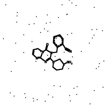 N#Cc1ccccc1CN1C(=O)N2CC=CN=C2N=C1N1CCCC(N)C1